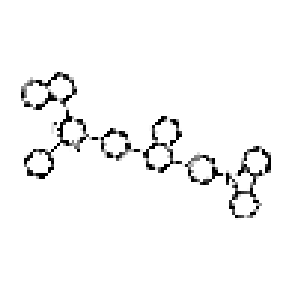 c1ccc(-c2nc(-c3ccc(-c4ccc(-c5ccc(-n6c7ccccc7c7ccccc76)cc5)c5ccccc45)cc3)cc(-c3cccc4ccccc34)n2)cc1